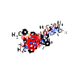 CCSSc1cccc(C)c1OC(=O)C[C@H](NC(=O)[C@H](Cc1ccccc1)NC(=O)[C@H](C(C)C)N(C)C(=O)[C@H](CC(C)C)N(C)C(=O)CNC(=O)[C@H](Cc1ccccc1)N(C)C(=O)[C@H]([C@@H](C)O)N1C(=O)[C@@H](N(C)C(=O)[C@@H](NC(=O)[C@H](C)NC)C(C)C)CC1C)C(=O)N(C)C(Cc1ccccc1)C(=O)N[C@@H](C)C(=O)N1CCCCC1